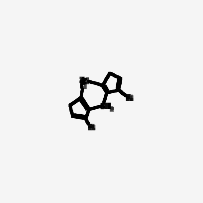 CCC1=CCC(Cl)=C1[SiH2]C1=C(Cl)CC=C1CC.[Zr]